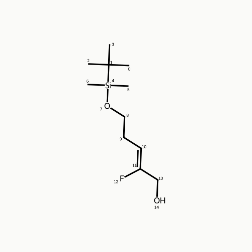 CC(C)(C)[Si](C)(C)OCCC=C(F)CO